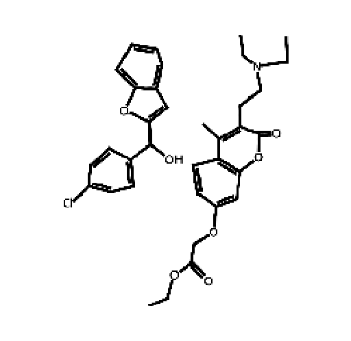 CCOC(=O)COc1ccc2c(C)c(CCN(CC)CC)c(=O)oc2c1.OC(c1ccc(Cl)cc1)c1cc2ccccc2o1